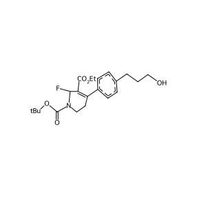 CCOC(=O)C1=C(c2ccc(CCCO)cc2)CCN(C(=O)OC(C)(C)C)C1F